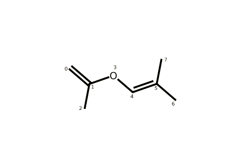 C=C(C)OC=C(C)C